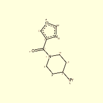 CC(C)C1CCN(C(=O)c2cocn2)CC1